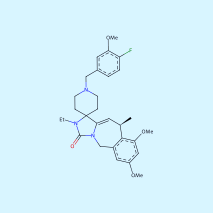 CCN1C(=O)N2Cc3cc(OC)cc(OC)c3[C@H](C)C=C2C12CCN(Cc1ccc(F)c(OC)c1)CC2